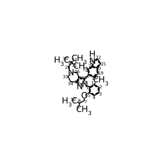 Cc1cccc(OCC(C)C)c1-n1nc2c(c1-c1ccc3cc[nH]c3c1)CN(CC(C)(C)C)CC2